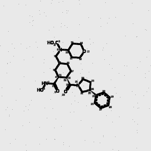 O=C(NO)[C@H]1CC(CN(C(=O)O)C2CCOCC2)CC[C@@H]1C(=O)N1CC[C@H](c2ccccc2)C1